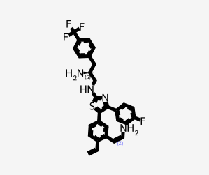 C=Cc1ccc(-c2sc(NC[C@@H](N)Cc3ccc(C(F)(F)F)cc3)nc2-c2ccc(F)cc2)cc1/C=C\N